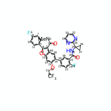 CNC(=O)c1c(-c2ccc(F)cc2)oc2cc(OCC(F)(F)F)c(-c3ccc(F)c(C(=O)NC4(c5ncccn5)CC4)c3)cc12